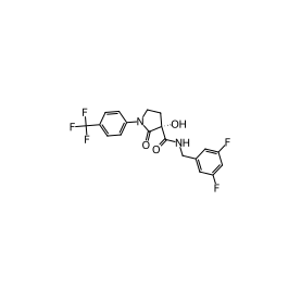 O=C(NCc1cc(F)cc(F)c1)[C@]1(O)CCN(c2ccc(C(F)(F)F)cc2)C1=O